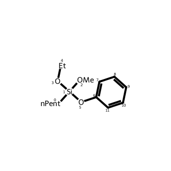 CCCCC[Si](OC)(OCC)Oc1ccccc1